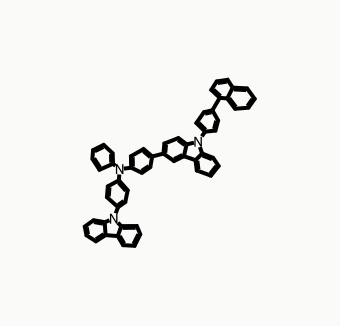 c1ccc(N(c2ccc(-c3ccc4c(c3)c3ccccc3n4-c3ccc(-c4cccc5ccccc45)cc3)cc2)c2ccc(-n3c4ccccc4c4ccccc43)cc2)cc1